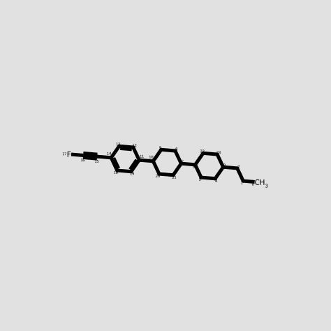 CCCC1CCC(C2CCC(c3ccc(C#CF)cc3)CC2)CC1